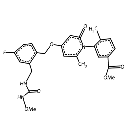 CONC(=O)NCc1cc(F)ccc1COc1cc(C)n(-c2cc(C(=O)OC)ccc2C)c(=O)c1